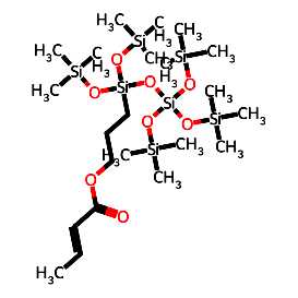 CC=CC(=O)OCCC[Si](O[Si](C)(C)C)(O[Si](C)(C)C)O[Si](O[Si](C)(C)C)(O[Si](C)(C)C)O[Si](C)(C)C